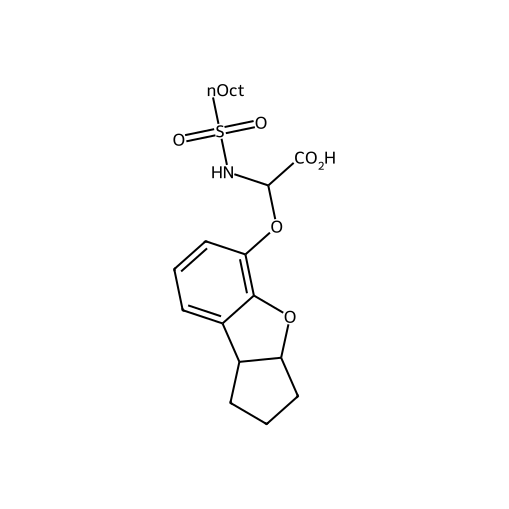 CCCCCCCCS(=O)(=O)NC(Oc1cccc2c1OC1CCCC21)C(=O)O